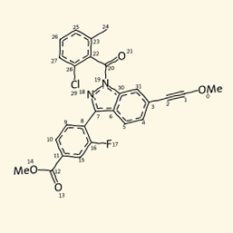 COC#Cc1ccc2c(-c3ccc(C(=O)OC)cc3F)nn(C(=O)c3c(C)cccc3Cl)c2c1